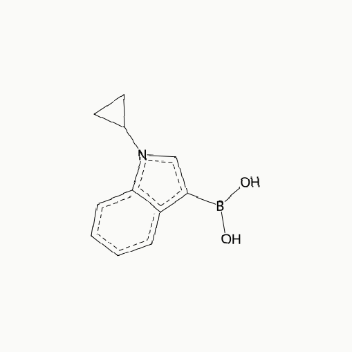 OB(O)c1cn(C2CC2)c2ccccc12